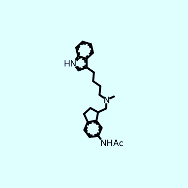 CC(=O)Nc1ccc2c(c1)C(CN(C)CCCCc1c[nH]c3ccccc13)CC2